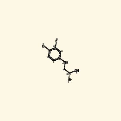 CC(C)[C@@H](O)CNc1ccc(Cl)c(F)c1